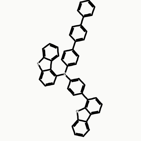 c1ccc(-c2ccc(-c3ccc(N(c4ccc(-c5cccc6c5oc5ccccc56)cc4)c4cccc5sc6ccccc6c45)cc3)cc2)cc1